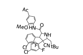 COc1cc(C(C)=O)ccc1NC(=O)C1NC(CC(C)(C)C)C(C#N)(c2ccc(Cl)cc2F)C1c1cccc(Cl)c1F